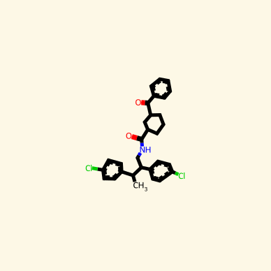 CC(c1ccc(Cl)cc1)C(CNC(=O)C1CCCC(C(=O)c2ccccc2)C1)c1ccc(Cl)cc1